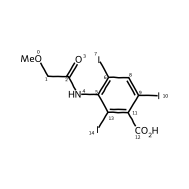 COCC(=O)Nc1c(I)cc(I)c(C(=O)O)c1I